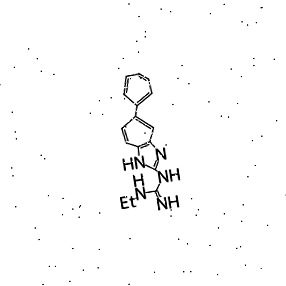 CCNC(=N)Nc1nc2cc(-c3ccccc3)ccc2[nH]1